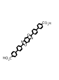 O=C(O)c1ccc(-c2ccc(-c3nc4cc5oc(-c6ccc(-c7ccc(C(=O)O)cc7)cc6)nc5cc4o3)cc2)cc1